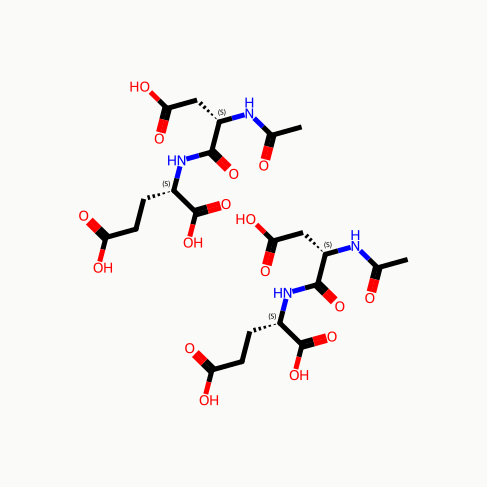 CC(=O)N[C@@H](CC(=O)O)C(=O)N[C@@H](CCC(=O)O)C(=O)O.CC(=O)N[C@@H](CC(=O)O)C(=O)N[C@@H](CCC(=O)O)C(=O)O